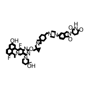 CCc1c(F)ccc2cc(O)cc(-c3ncc4c(N5CCC[C@@](C)(O)C5)nc(OCC5(CN6CC7(CCC(CN8CCN(c9ccc%10c(c9)CN([C@H]9CCC(=O)NC9=O)C%10=O)CC8)CC7)C6)CC5)nc4c3F)c12